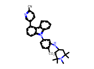 CN1C(C)(C)CC(Nc2cc(-n3c4ccccc4c4c(-c5ccc(C#N)nc5)cccc43)ccc2C(=O)O)CC1(C)C